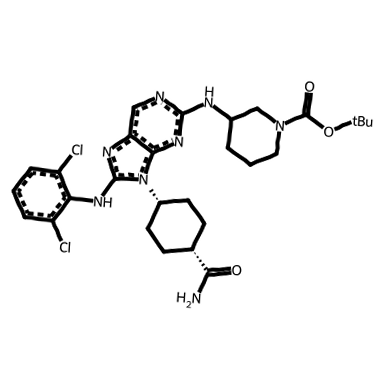 CC(C)(C)OC(=O)N1CCCC(Nc2ncc3nc(Nc4c(Cl)cccc4Cl)n([C@H]4CC[C@@H](C(N)=O)CC4)c3n2)C1